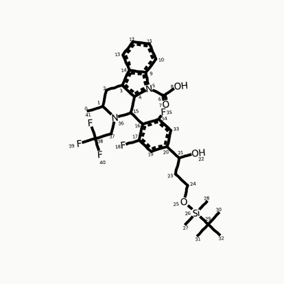 CC1Cc2c(n(C(=O)O)c3ccccc23)C(c2c(F)cc(C(O)CCO[Si](C)(C)C(C)(C)C)cc2F)N1CC(F)(F)F